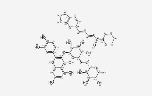 C[C@@H]1O[C@@H](OC[C@H]2O[C@@H](Oc3c(-c4ccc(O)c(O)c4)oc4cc(O)cc(O)c4c3=O)[C@H](O)[C@@H](O)[C@@H]2O)[C@H](O)[C@H](O)[C@H]1O.O=C(/C=C/C=C/c1ccc2c(c1)OCO2)N1CCCCC1